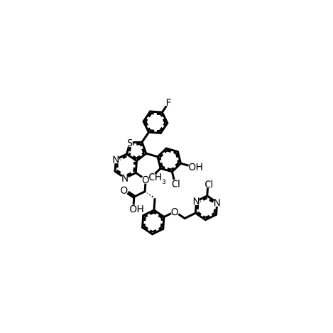 Cc1c(-c2c(-c3ccc(F)cc3)sc3ncnc(O[C@H](Cc4ccccc4OCc4ccnc(Cl)n4)C(=O)O)c23)ccc(O)c1Cl